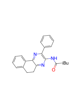 CCC(C)C(=O)Nc1nc2c(nc1-c1ccccc1)-c1ccccc1CC2